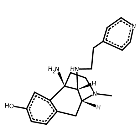 CN1CC[C@@]2(N)c3cc(O)ccc3C[C@@H]1[C@H]2NCCc1ccncc1